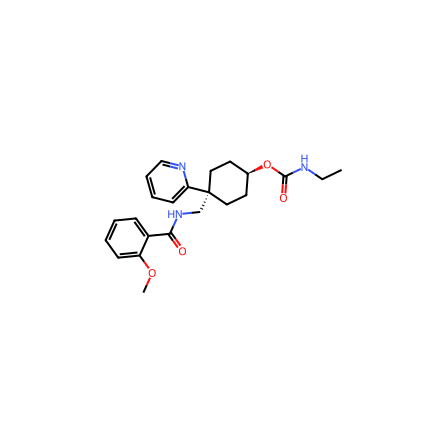 CCNC(=O)O[C@H]1CC[C@@](CNC(=O)c2ccccc2OC)(c2ccccn2)CC1